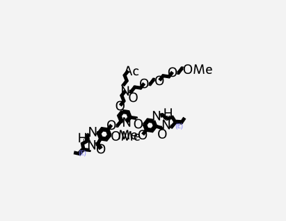 C/C=C1\C[C@H]2C=Nc3cc(OCc4cc(OCCN(CCCC(C)=O)C(=O)CCOCCOCCOCCOC)cc(COc5cc6c(cc5OC)C(=O)N5C/C(=C/C)C[C@H]5C=N6)n4)c(OC)cc3C(=O)N2C1